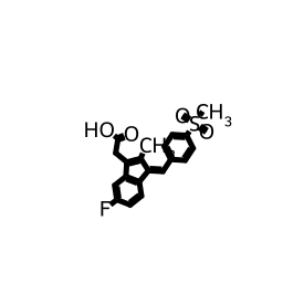 CC1=C(CC(=O)O)c2cc(F)ccc2C1=Cc1ccc(S(C)(=O)=O)cc1